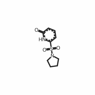 O=c1cccc(S(=O)(=O)N2CCCC2)[nH]1